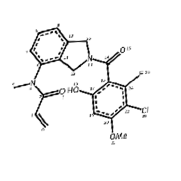 C=CC(=O)N(C)c1cccc2c1CN(C(=O)c1c(O)cc(OC)c(Cl)c1F)C2